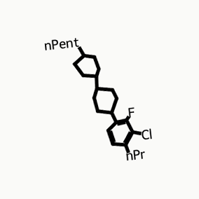 CCCCCC1CCC(C2CCC(c3ccc(CCC)c(Cl)c3F)CC2)CC1